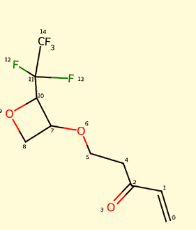 C=CC(=O)CCOC1COC1C(F)(F)C(F)(F)F